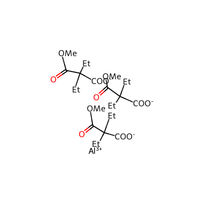 CCC(CC)(C(=O)[O-])C(=O)OC.CCC(CC)(C(=O)[O-])C(=O)OC.CCC(CC)(C(=O)[O-])C(=O)OC.[Al+3]